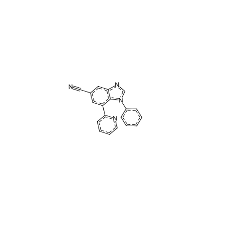 N#Cc1cc(-c2ccccn2)c2c(c1)ncn2-c1ccccc1